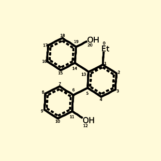 CCc1cccc(-c2ccccc2O)c1-c1ccccc1O